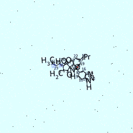 C=C1C(=O)C2(NC(=O)c3ccc4[nH]nnc4c3)c3ccc(C(C)C)cc3OC2(O)/C1=C/C=C\C